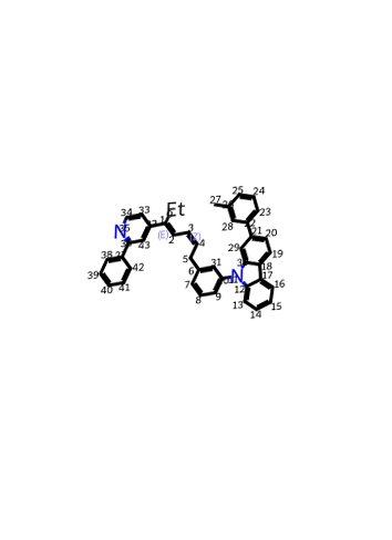 CC/C(=C\C=C/Cc1cccc(-n2c3ccccc3c3ccc(-c4cccc(C)c4)cc32)c1)c1ccnc(-c2ccccc2)c1